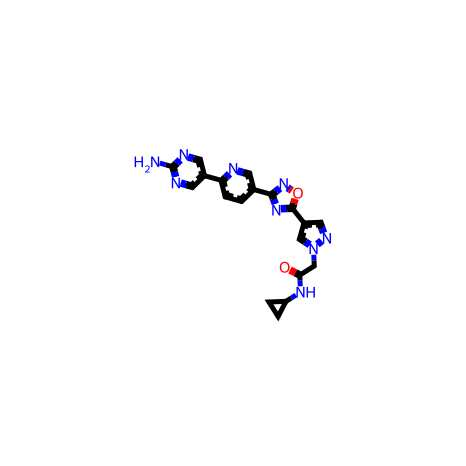 Nc1ncc(-c2ccc(-c3noc(-c4cnn(CC(=O)NC5CC5)c4)n3)cn2)cn1